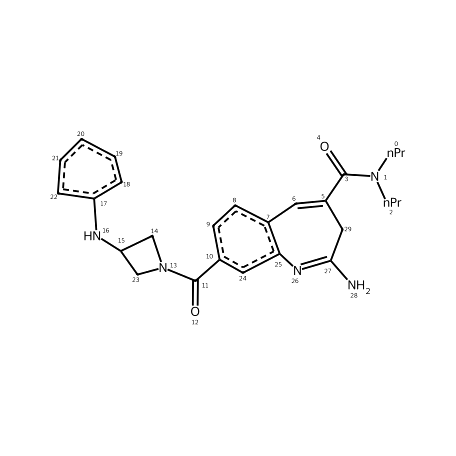 CCCN(CCC)C(=O)C1=Cc2ccc(C(=O)N3CC(Nc4ccccc4)C3)cc2N=C(N)C1